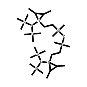 CC1C(C)[Si]1(CC[Si](C)(C)O[Si](C)(C)CC[Si]1(N([Si](C)(C)C)[Si](C)(C)C)C(C)C1C)N([Si](C)(C)C)[Si](C)(C)C